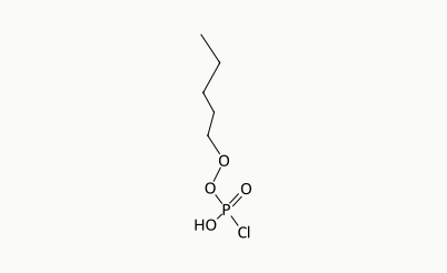 CCCCCOOP(=O)(O)Cl